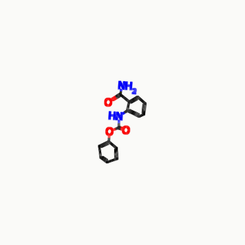 NC(=O)c1ccccc1NC(=O)Oc1ccccc1